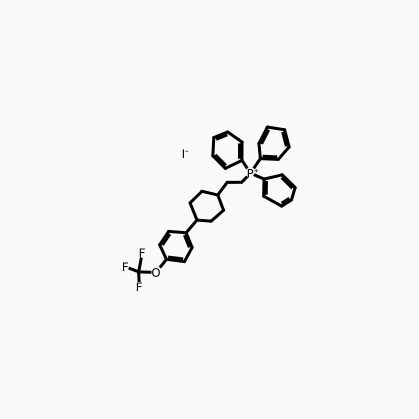 FC(F)(F)Oc1ccc(C2CCC(CC[P+](c3ccccc3)(c3ccccc3)c3ccccc3)CC2)cc1.[I-]